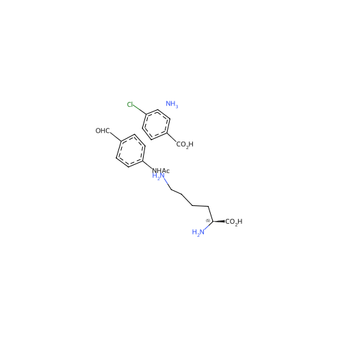 CC(=O)Nc1ccc(C=O)cc1.N.NCCCC[C@H](N)C(=O)O.O=C(O)c1ccc(Cl)cc1